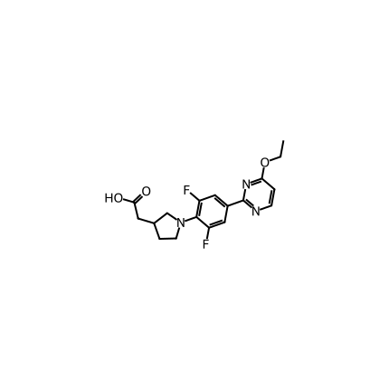 CCOc1ccnc(-c2cc(F)c(N3CCC(CC(=O)O)C3)c(F)c2)n1